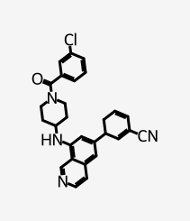 N#CC1=CC(c2cc(NC3CCN(C(=O)c4cccc(Cl)c4)CC3)c3cnccc3c2)CC=C1